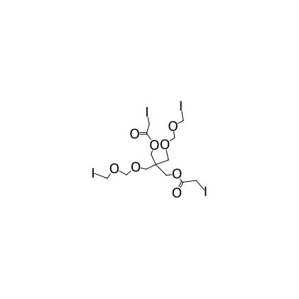 O=C(CI)OCC(COCOCI)(COCOCI)COC(=O)CI